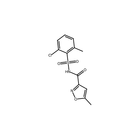 Cc1cc(C(=O)NS(=O)(=O)c2c(C)cccc2Cl)no1